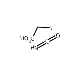 N=C=O.O=C(O)CI